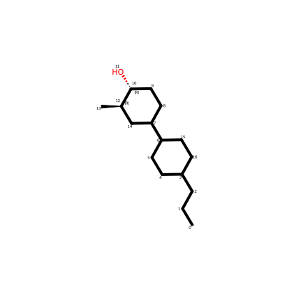 CCCC1CCC(C2CC[C@@H](O)[C@H](C)C2)CC1